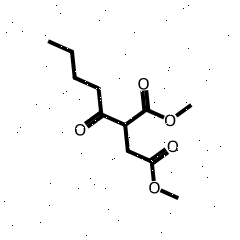 CCCCC(=O)C(CC(=O)OC)C(=O)OC